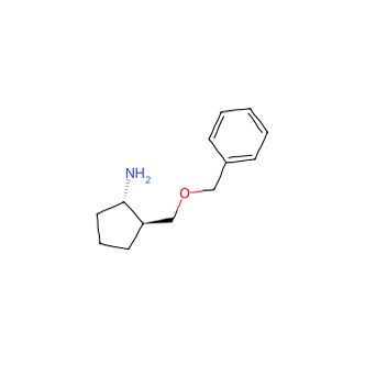 N[C@H]1CCC[C@@H]1COCc1ccccc1